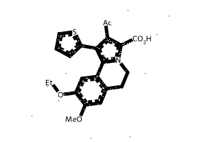 CCOc1cc2c(cc1OC)CCn1c(C(=O)O)c(C(C)=O)c(-c3cccs3)c1-2